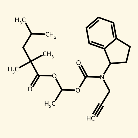 C#CCN(C(=O)OC(C)OC(=O)C(C)(C)CC(C)C)C1CCc2ccccc21